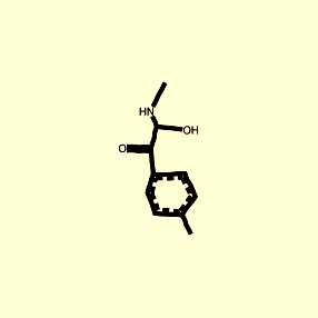 CNC(O)C(=O)c1ccc(C)cc1